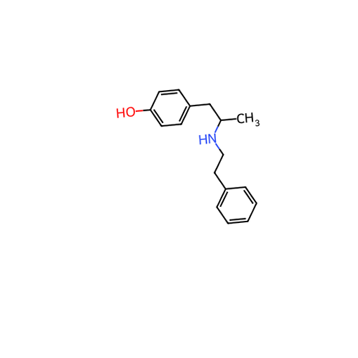 CC(Cc1ccc(O)cc1)NCCc1ccccc1